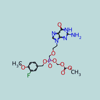 COC(=O)OCOP(=O)(COCCn1cnc2c(=O)[nH]c(N)nc21)OCc1ccc(OC)c(F)c1